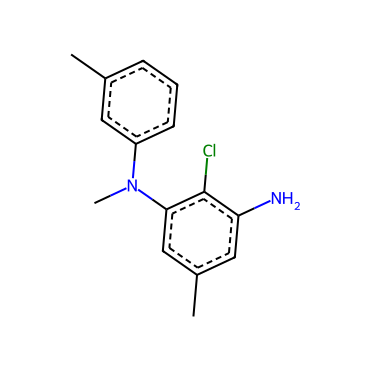 Cc1cccc(N(C)c2cc(C)cc(N)c2Cl)c1